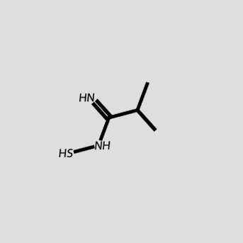 CC(C)C(=N)NS